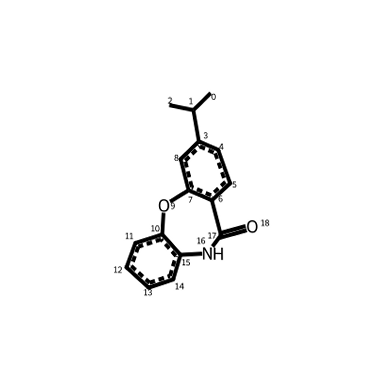 CC(C)c1ccc2c(c1)Oc1ccccc1NC2=O